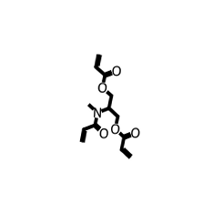 C=CC(=O)OCC(COC(=O)C=C)N(C)C(=O)C=C